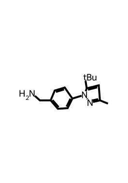 Cc1cc(C(C)(C)C)n(-c2ccc(CN)cc2)n1